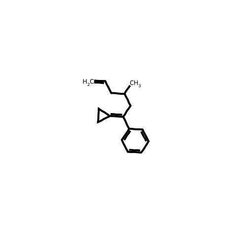 C=CCC(C)CC(=C1CC1)c1ccccc1